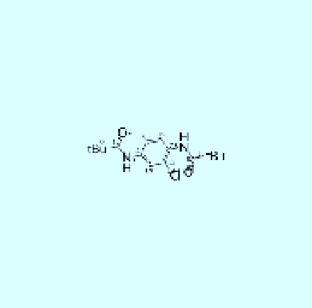 CC(C)(C)C(=O)Nc1ccc(NC(=O)C(C)(C)C)c(Cl)c1